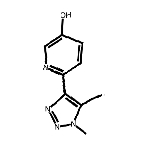 [CH2]c1c(-c2ccc(O)cn2)nnn1C